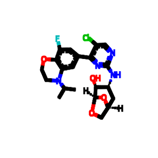 CC(C)N1CCOc2c(F)cc(-c3nc(N[C@@H]4C[C@H]5CO[C@H](O5)[C@H]4O)ncc3Cl)cc21